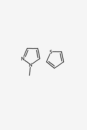 Cn1cccn1.c1ccsc1